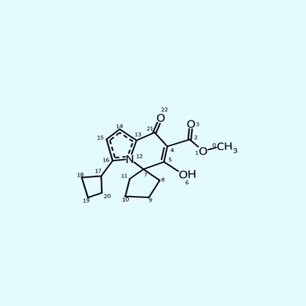 COC(=O)C1=C(O)C2(CCCC2)n2c(ccc2C2CCC2)C1=O